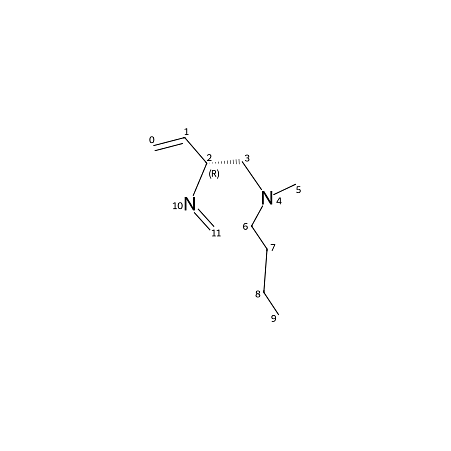 C=C[C@H](CN(C)CCCC)N=C